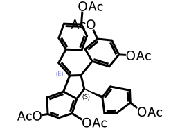 CC(=O)Oc1ccc(/C=C2/c3cc(OC(C)=O)cc(OC(C)=O)c3[C@H](c3ccc(OC(C)=O)cc3)C2c2cc(OC(C)=O)cc(OC(C)=O)c2)cc1